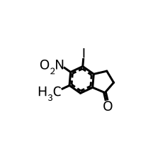 Cc1cc2c(c(I)c1[N+](=O)[O-])CCC2=O